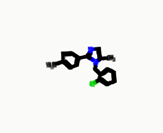 Cc1ccc(-c2ncc(C)n2Cc2ccccc2Cl)cc1